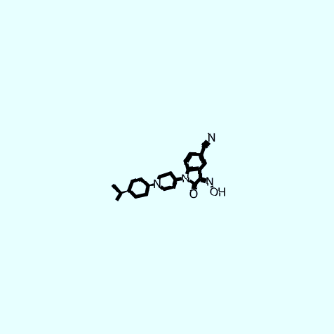 CC(C)[C@H]1CC[C@@H](N2CCC(N3C(=O)/C(=N\O)c4cc(C#N)ccc43)CC2)CC1